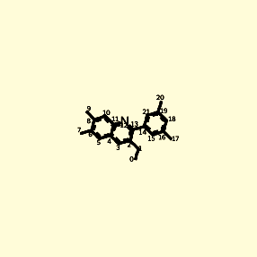 CCc1cc2cc(C)c(C)cc2nc1-c1cc(C)cc(C)c1